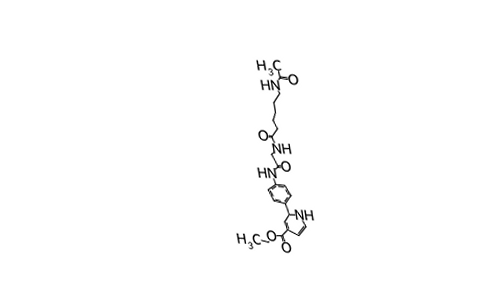 CCOC(=O)C1=CC(c2ccc(NC(=O)CNC(=O)CCCCCNC(C)=O)cc2)NC=C1